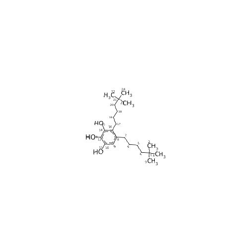 CC(C)(C)CCCCc1cc(O)c(O)c(O)c1CCCCC(C)(C)C